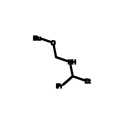 CCC(C)OCNC(CC)C(C)C